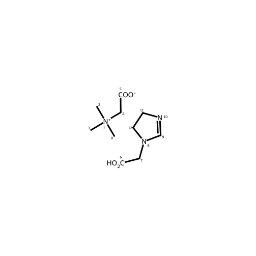 C[N+](C)(C)CC(=O)[O-].O=C(O)CN1C=NCC1